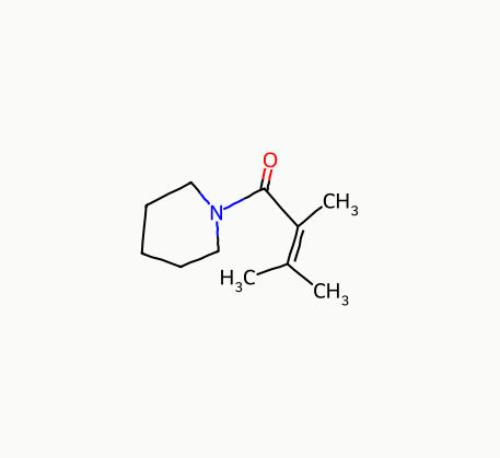 CC(C)=C(C)C(=O)N1CCCCC1